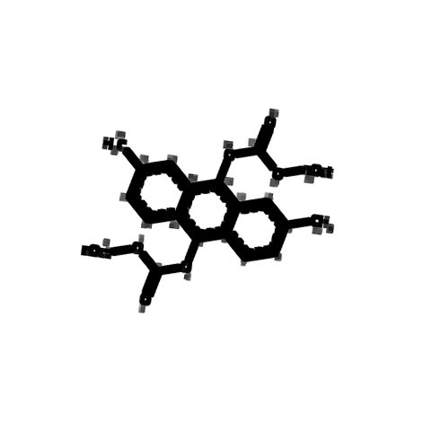 CCCCCCCCOC(=O)Oc1c2ccc(C)cc2c(OC(=O)OCCCCCCCC)c2cc(C)ccc12